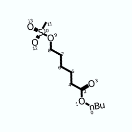 CCCCOC(=O)CCCCCOS(C)(=O)=O